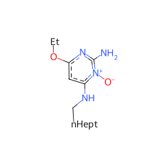 CCCCCCCCNc1cc(OCC)nc(N)[n+]1[O-]